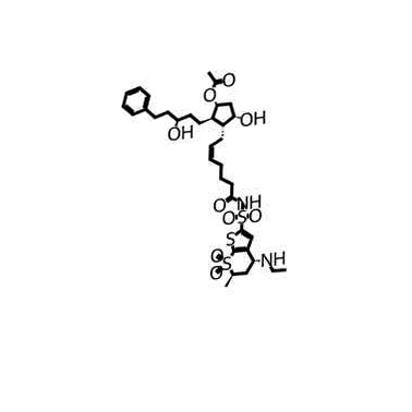 CCN[C@@H]1C[C@@H](C)S(=O)(=O)c2sc(S(=O)(=O)NC(=O)CCC/C=C\C[C@@H]3[C@@H](CC[C@@H](O)CCc4ccccc4)[C@H](OC(C)=O)C[C@@H]3O)cc21